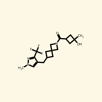 Cn1cc(CC2CC3(C2)CN(C(=O)C2CC(C)(O)C2)C3)c(C(F)(F)F)n1